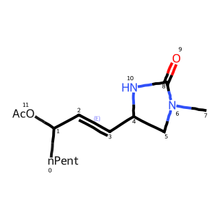 CCCCCC(/C=C/C1CN(C)C(=O)N1)OC(C)=O